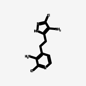 Nc1c(CCc2[nH]nc(Cl)c2N)ccnc1Cl